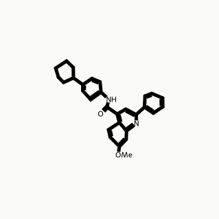 COc1ccc2c(C(=O)Nc3ccc(C4CCCCC4)cc3)cc(-c3ccccc3)nc2c1